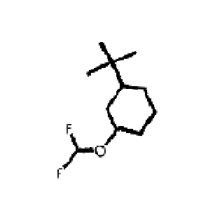 CC(C)(C)C1CCCC(OC(F)F)C1